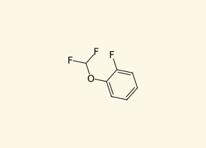 Fc1ccccc1OC(F)F